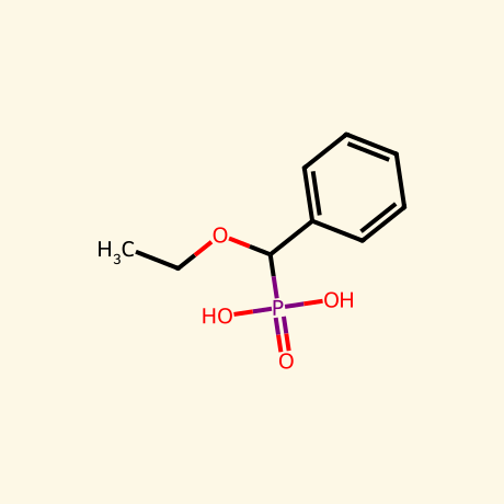 CCOC(c1ccccc1)P(=O)(O)O